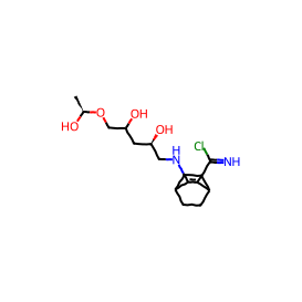 C[C@H](O)OCC(O)C[C@@H](O)CNC1=C(C(=N)Cl)C2CCC1CC2